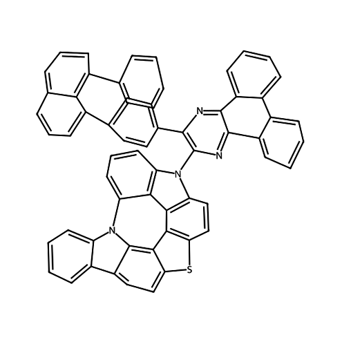 c1ccc(-c2cccc3cccc(-c4ccc(-c5nc6c7ccccc7c7ccccc7c6nc5-n5c6ccc7sc8ccc9c%10ccccc%10n%10c%11cccc5c%11c6c7c8c9%10)cc4)c23)cc1